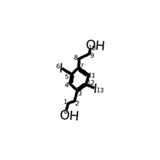 OCCc1cc(I)c(CCO)cc1I